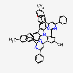 Cc1ccc(-c2ccc3c(c2)c2cc(-c4ccc(C)cc4)ccc2n3-c2c(-c3cc(-c4ccccc4)nc(-c4ccccc4)n3)cc(C#N)cc2-c2nc(-c3ccccc3)cc(-c3ccccc3)n2)cc1